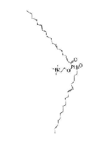 CCCCCCCCCCCC=CCCCCC(=O)[PH-](OCC[N+](C)(C)C)C(=O)CCCCC=CCCCCCCCCCCC